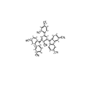 N#Cc1ccc2c(c1)c1cc(C#N)ccc1n2-c1cc(-c2ccc(C(F)(F)F)cc2C#N)cc(-n2c3ccc(C#N)cc3c3cc(C#N)ccc32)c1C#N